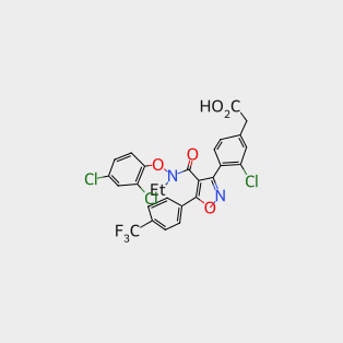 CCN(Oc1ccc(Cl)cc1Cl)C(=O)c1c(-c2ccc(CC(=O)O)cc2Cl)noc1-c1ccc(C(F)(F)F)cc1